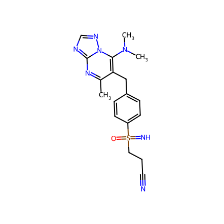 Cc1nc2ncnn2c(N(C)C)c1Cc1ccc(S(=N)(=O)CCC#N)cc1